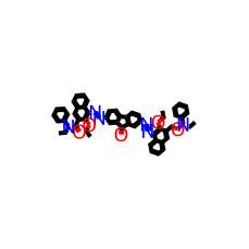 CCOc1c(CON(CC)c2ccccc2)cc2ccccc2c1N=Nc1ccc2c(c1)C(=O)c1cc(N=Nc3c(OCC)c(C(=O)N(CC)c4ccccc4)cc4ccccc34)ccc1-2